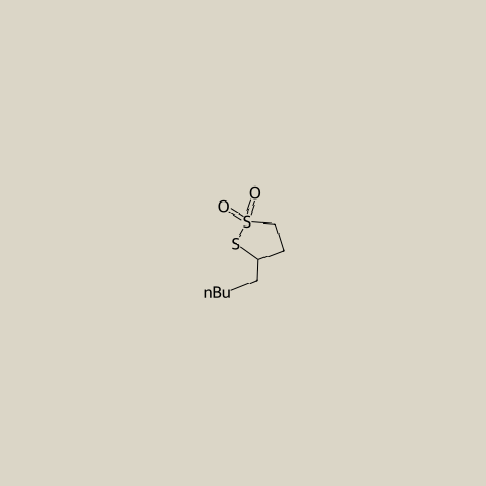 CCCCCC1CCS(=O)(=O)S1